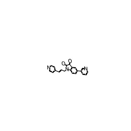 O=C1C(=O)N(C/C=C/c2ccncc2)c2ccc(-c3cccnc3)cc21